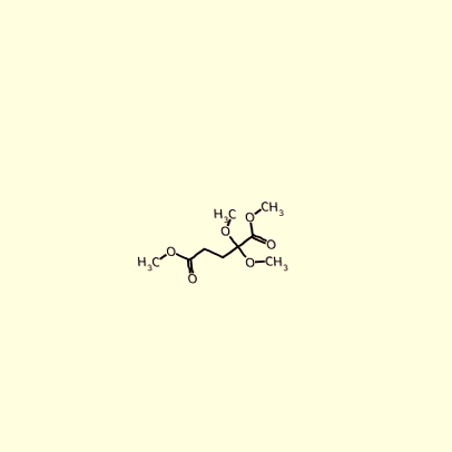 COC(=O)CCC(OC)(OC)C(=O)OC